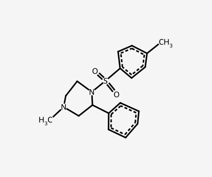 Cc1ccc(S(=O)(=O)N2CCN(C)CC2c2ccccc2)cc1